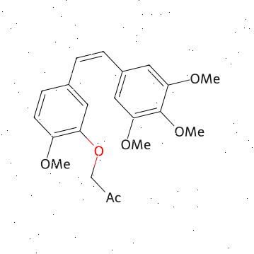 COc1ccc(/C=C\c2cc(OC)c(OC)c(OC)c2)cc1OCC(C)=O